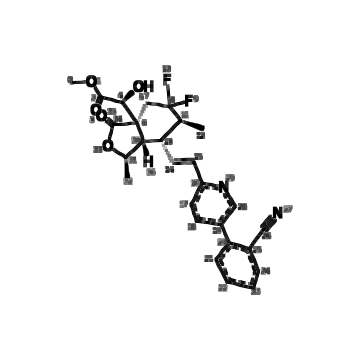 COC(=O)[C@@H](O)[C@@]12CC(F)(F)[C@@H](C)[C@H](/C=C/c3ccc(-c4ccccc4C#N)cn3)[C@@H]1[C@@H](C)OC2=O